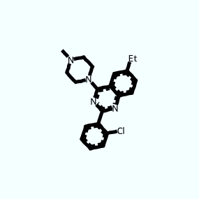 CCc1ccc2nc(-c3ccccc3Cl)nc(N3CCN(C)CC3)c2c1